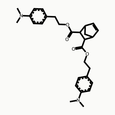 CN(C)c1ccc(CCOC(=O)C2C3C=CC(C3)C2C(=O)OCCc2ccc(N(C)C)cc2)cc1